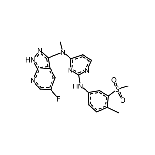 Cc1ccc(Nc2nccc(N(C)c3n[nH]c4ncc(F)cc34)n2)cc1S(C)(=O)=O